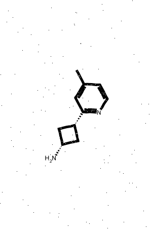 Cc1ccnc([C@H]2C[C@@H](N)C2)c1